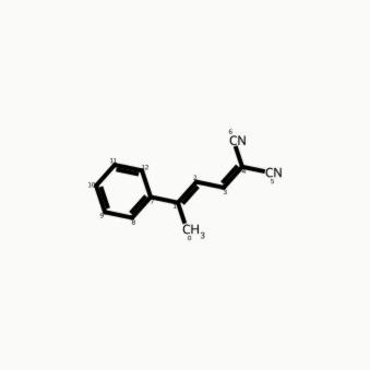 CC(=CC=C(C#N)C#N)c1ccccc1